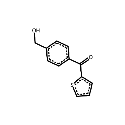 O=C(c1ccc(CO)cc1)c1cccs1